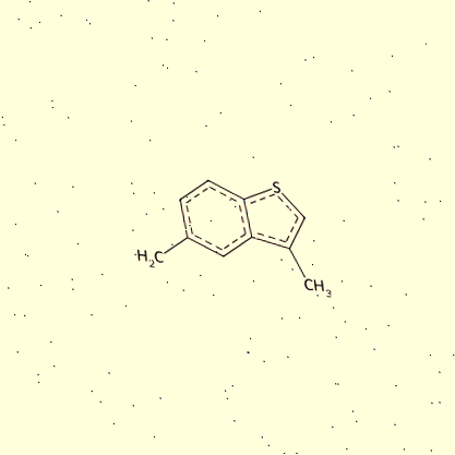 [CH2]c1ccc2scc(C)c2c1